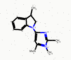 CNc1cc(N2CC(C)c3ccccc32)nc(C)[n+]1C